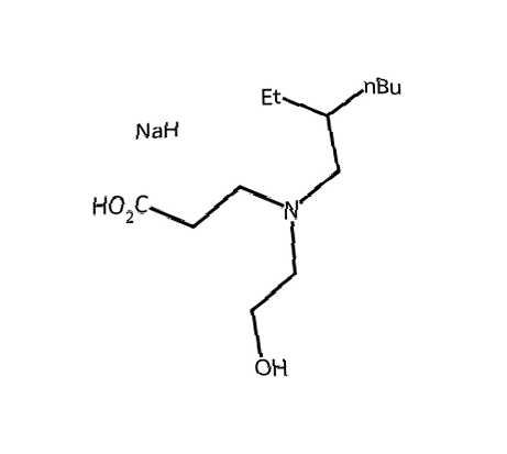 CCCCC(CC)CN(CCO)CCC(=O)O.[NaH]